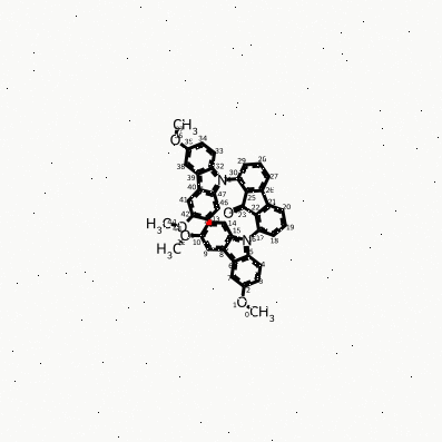 COc1ccc2c(c1)c1cc(OC)ccc1n2-c1cccc2c1C(=O)c1c-2cccc1-n1c2ccc(OC)cc2c2cc(OC)ccc21